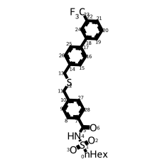 CCCCCCS(=O)(=O)NC(=O)c1ccc(CSCc2ccc(-c3cccc(C(F)(F)F)c3)cc2)cc1